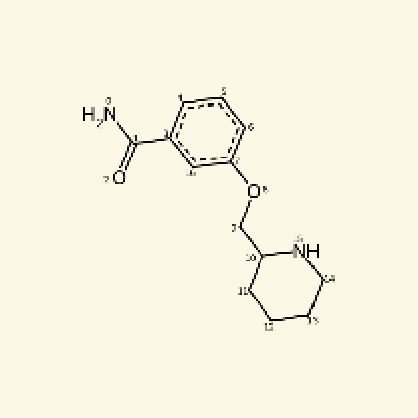 NC(=O)c1cccc(OCC2CCCCN2)c1